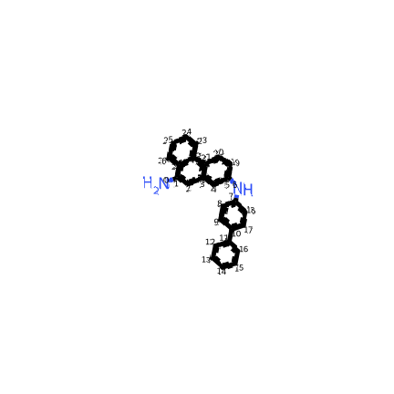 Nc1cc2cc(Nc3ccc(-c4ccccc4)cc3)ccc2c2ccccc12